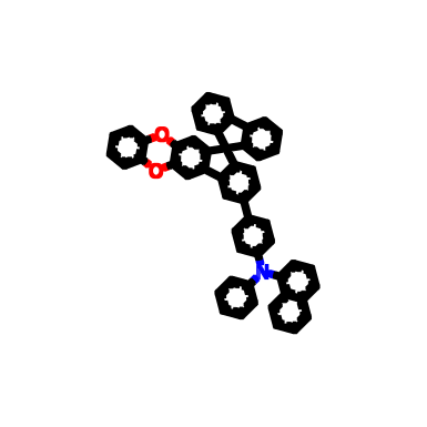 c1ccc(N(c2ccc(-c3ccc4c(c3)-c3cc5c(cc3C43c4ccccc4-c4ccccc43)Oc3ccccc3O5)cc2)c2cccc3ccccc23)cc1